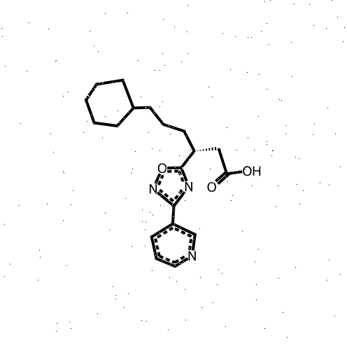 O=C(O)C[C@@H](CCCC1CCCCC1)c1nc(-c2cccnc2)no1